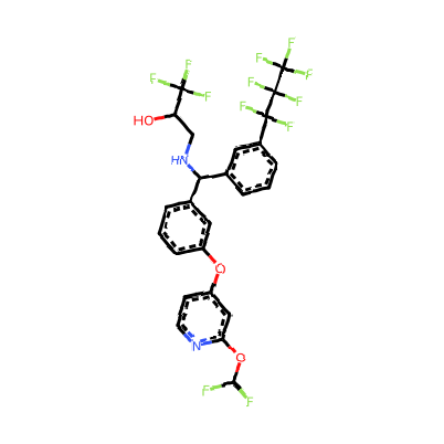 OC(CNC(c1cccc(Oc2ccnc(OC(F)F)c2)c1)c1cccc(C(F)(F)C(F)(F)C(F)(F)F)c1)C(F)(F)F